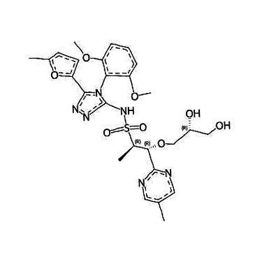 COc1cccc(OC)c1-n1c(NS(=O)(=O)[C@H](C)[C@H](OC[C@H](O)CO)c2ncc(C)cn2)nnc1-c1ccc(C)o1